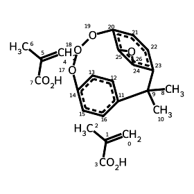 C=C(C)C(=O)O.C=C(C)C(=O)O.CC1(C)c2ccc(cc2)OOOc2ccc1c1c2O1